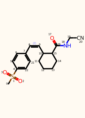 CS(=O)(=O)c1ccc(/C=C\C2CCCCC2C(=O)NCC#N)cc1